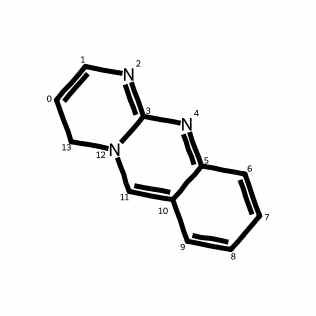 C1=CN=C2N=c3ccccc3=CN2C1